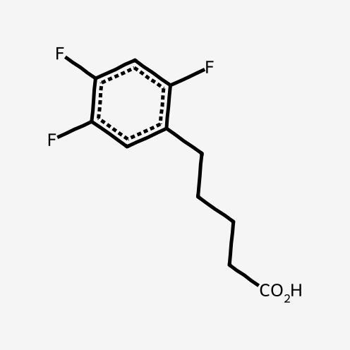 O=C(O)CCCCc1cc(F)c(F)cc1F